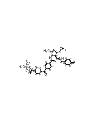 CCc1nn(C)c2nc(-c3ccc(C(=O)N4CCN(C(=O)OC(C)(C)C)CC4)cc3)nc(NCc3ccc(F)cc3)c12